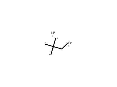 C[C](C)CC(C)(C)C.[H+]